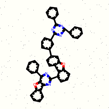 c1ccc(-c2nc(-c3ccccc3)nc(-c3cccc(-c4ccc5c(c4)oc4cccc(-c6nc(-c7ccccc7)c7oc8ccccc8c7n6)c45)c3)n2)cc1